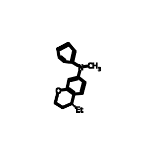 CC[C@@H]1CCOc2cc(N(C)c3ccccc3)ccc21